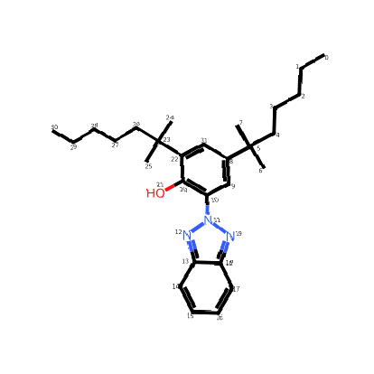 CCCCCC(C)(C)c1cc(-n2nc3ccccc3n2)c(O)c(C(C)(C)CCCCC)c1